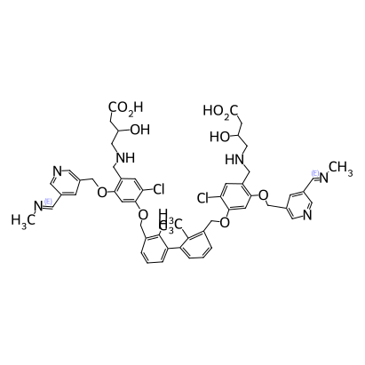 C/N=C/c1cncc(COc2cc(OCc3cccc(-c4cccc(COc5cc(OCc6cncc(/C=N/C)c6)c(CNCC(O)CC(=O)O)cc5Cl)c4C)c3C)c(Cl)cc2CNCC(O)CC(=O)O)c1